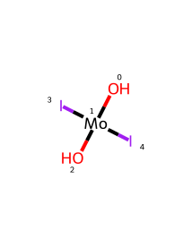 [OH][Mo]([OH])([I])[I]